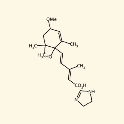 C1=NCCN1.COC1C=C(C)C(O)(/C=C/C(C)=C/C(=O)O)C(C)(C)C1